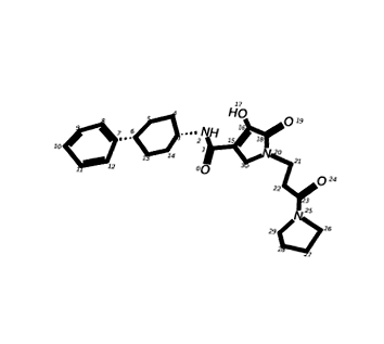 O=C(N[C@H]1CC[C@@H](c2ccccc2)CC1)C1=C(O)C(=O)N(CCC(=O)N2CCCC2)C1